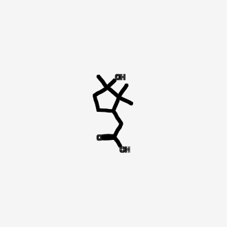 CC1(O)CCC(CC(=O)O)C1(C)C